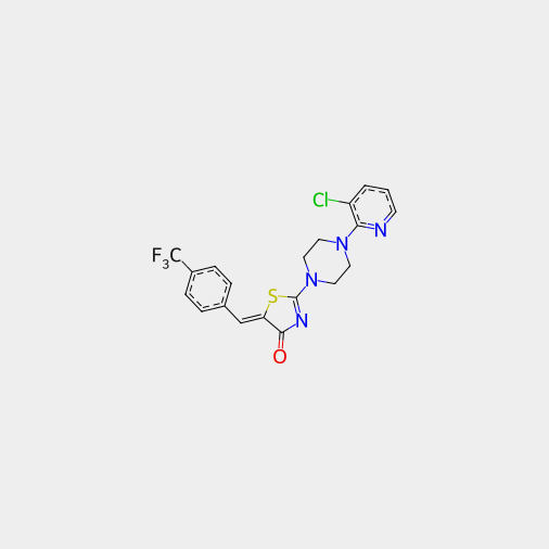 O=C1N=C(N2CCN(c3ncccc3Cl)CC2)S/C1=C\c1ccc(C(F)(F)F)cc1